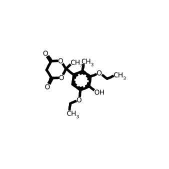 CCOc1cc(C2(C)OC(=O)CC(=O)O2)c(C)c(OCC)c1O